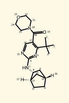 CC(C)(C)c1nc(N[C@@H]2C[C@@H]3CC[C@@H]2C3)ncc1C(=O)N1CCOCC1